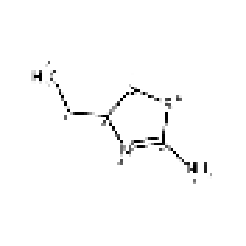 CCC1N=C(N)SS1